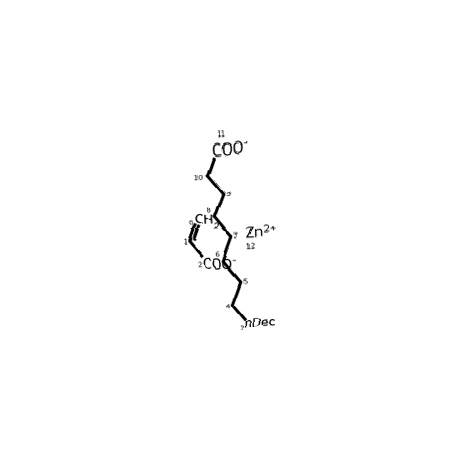 C=CC(=O)[O-].CCCCCCCCCCCCCCCCCC(=O)[O-].[Zn+2]